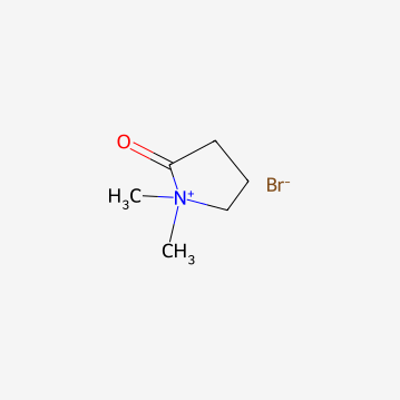 C[N+]1(C)CCCC1=O.[Br-]